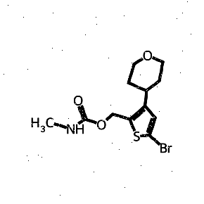 CNC(=O)OCc1sc(Br)cc1C1CCOCC1